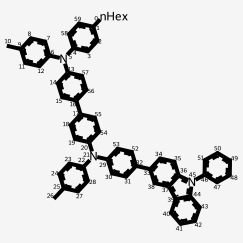 CCCCCCc1ccc(N(c2ccc(C)cc2)c2ccc(-c3ccc(N(c4ccc(C)cc4)c4ccc(-c5ccc6c(c5)c5ccccc5n6-c5ccccc5)cc4)cc3)cc2)cc1